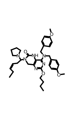 CC/C=C\CC(N1CCCC1)N1Cc2nc(OCCCC)nc(N(Cc3ccc(OC)cc3)Cc3ccc(OC)cc3)c2NC1=O